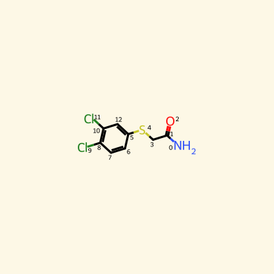 NC(=O)CSc1ccc(Cl)c(Cl)c1